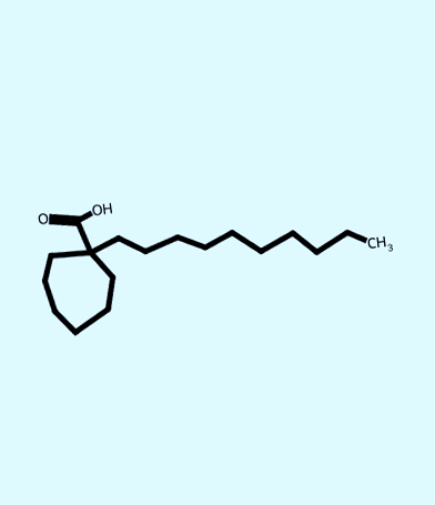 CCCCCCCCCCC1(C(=O)O)CCCCCC1